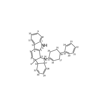 CC12C=Cc3c([nH]c4ccccc34)C1N(C1=CCC(c3ccccc3)CC1)C1C=CC=CC12